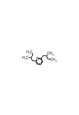 CCC(C)Cc1cccc(CC(C)CC)n1